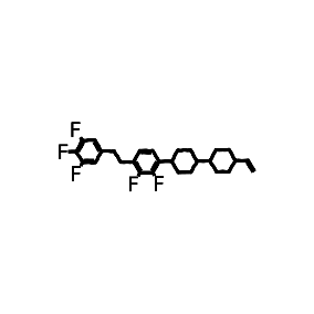 C=CC1CCC(C2CCC(c3ccc(CCc4cc(F)c(F)c(F)c4)c(F)c3F)CC2)CC1